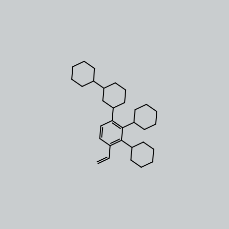 C=Cc1ccc(C2CCCC(C3CCCCC3)C2)c(C2CCCCC2)c1C1CCCCC1